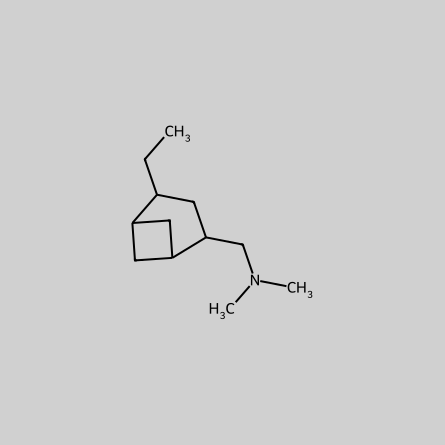 CCC1CC(CN(C)C)C2CC1C2